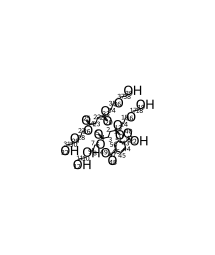 O=C(CCC(=O)OCCOCCO)OCCOCCO.O=C(CCC(=O)OCCOCCO)OCCOCCO.O=C(O)c1ccc(C(=O)O)cc1